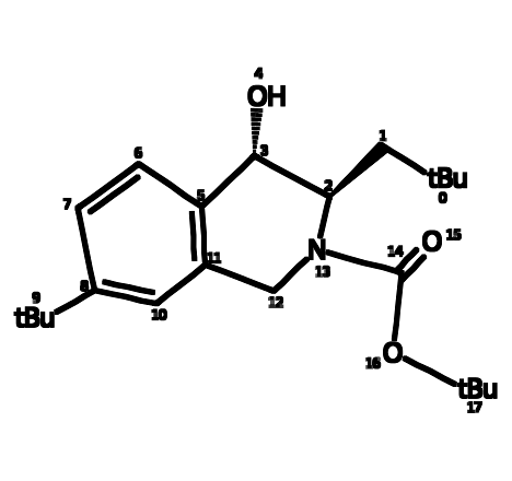 CC(C)(C)C[C@@H]1[C@@H](O)c2ccc(C(C)(C)C)cc2CN1C(=O)OC(C)(C)C